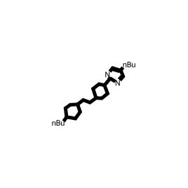 CCCCc1cnc(C2CCC(CCC3CCC(CCCC)CC3)CC2)nc1